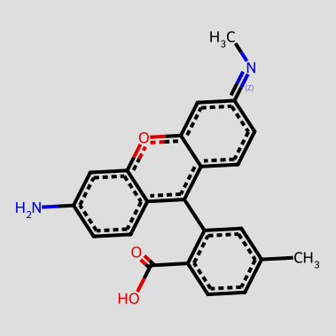 C/N=c1/ccc2c(-c3cc(C)ccc3C(=O)O)c3ccc(N)cc3oc-2c1